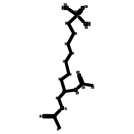 CC(=O)OCC(CCCCCCCP(=O)(O)O)OC(C)=O